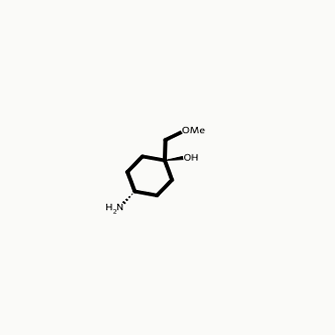 COC[C@]1(O)CC[C@H](N)CC1